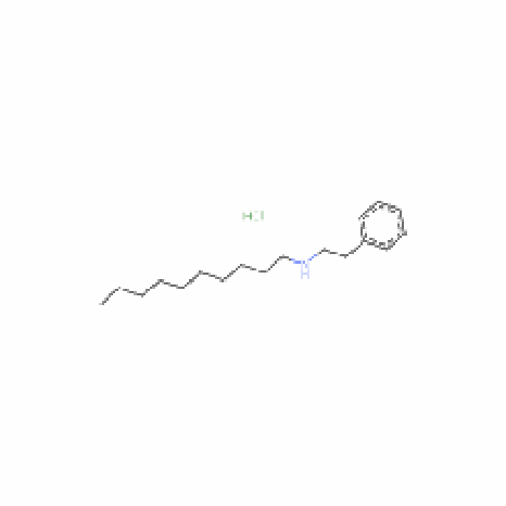 CCCCCCCCCCNCCc1ccccc1.Cl